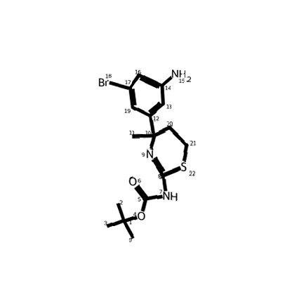 CC(C)(C)OC(=O)NC1=NC(C)(c2cc(N)cc(Br)c2)CCS1